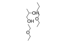 CC(O)CO.CCCCOCC.CCOCC